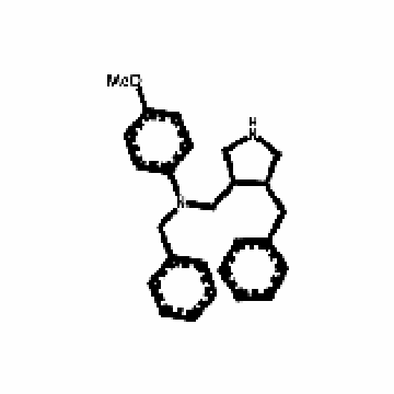 COc1ccc(N(Cc2ccccc2)CC2CNCC2Cc2ccccc2)cc1